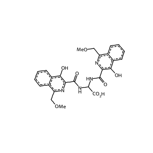 COCc1nc(C(=O)NC(NC(=O)c2nc(COC)c3ccccc3c2O)C(=O)O)c(O)c2ccccc12